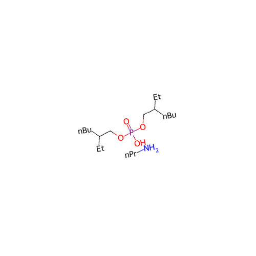 CCCCC(CC)COP(=O)(O)OCC(CC)CCCC.CCCN